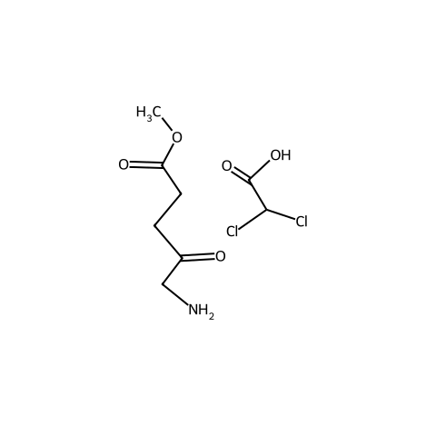 COC(=O)CCC(=O)CN.O=C(O)C(Cl)Cl